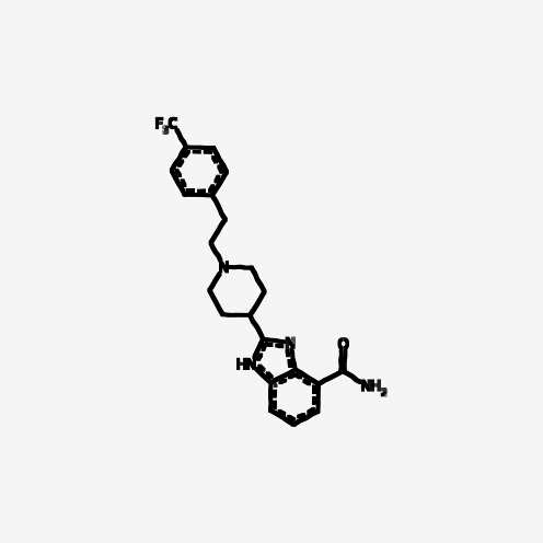 NC(=O)c1cccc2[nH]c(C3CCN(CCc4ccc(C(F)(F)F)cc4)CC3)nc12